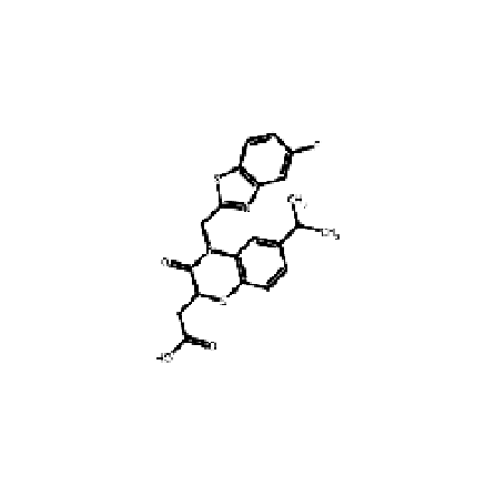 CC(C)c1ccc2c(c1)N(Cc1nc3cc(F)ccc3s1)C(=O)C(CC(=O)O)S2